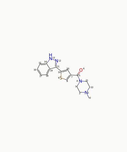 CN1CCN(C(=O)c2csc(-c3n[nH]c4ccccc34)c2)CC1